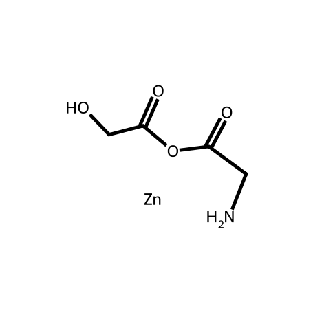 NCC(=O)OC(=O)CO.[Zn]